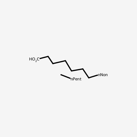 CCCCCC.CCCCCCCCCCCCCCCC(=O)O